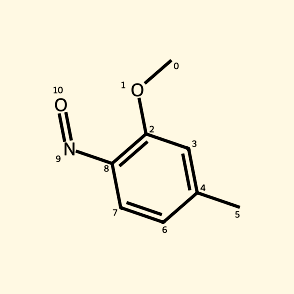 COc1cc(C)ccc1N=O